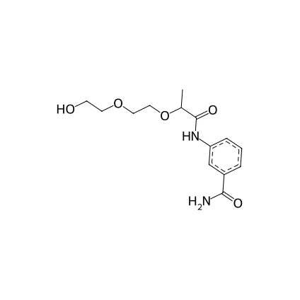 CC(OCCOCCO)C(=O)Nc1cccc(C(N)=O)c1